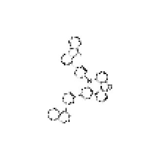 c1cc(-c2cccc(N(c3ccc(-c4cccc5c4oc4ccccc45)cc3)c3cccc4oc5ccccc5c34)c2)cc(-c2cccc3ccccc23)c1